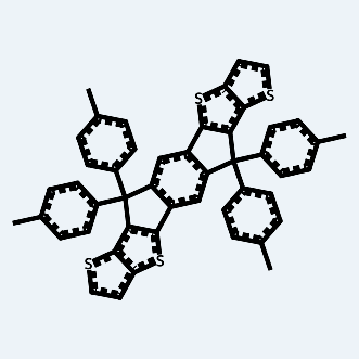 Cc1ccc(C2(c3ccc(C)cc3)c3cc4c(cc3-c3sc5ccsc5c32)C(c2ccc(C)cc2)(c2ccc(C)cc2)c2c-4sc3ccsc23)cc1